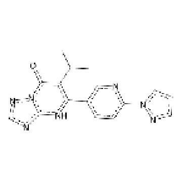 CC(C)c1c(-c2ccc(-n3cccn3)nc2)[nH]c2ncnn2c1=O